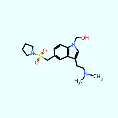 CN(C)CCc1cn(CO)c2ccc(CS(=O)(=O)N3CCCC3)cc12